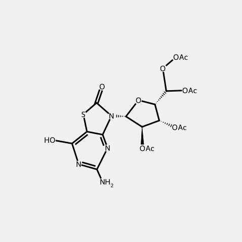 CC(=O)OOC(OC(C)=O)[C@H]1O[C@@H](n2c(=O)sc3c(O)nc(N)nc32)[C@H](OC(C)=O)[C@H]1OC(C)=O